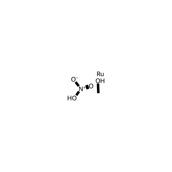 CO.O=[N+]([O-])O.[Ru]